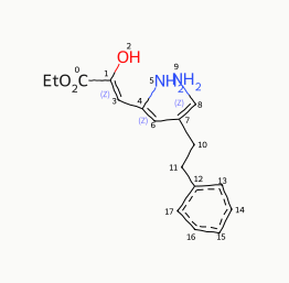 CCOC(=O)/C(O)=C/C(N)=C/C(=C\N)CCc1ccccc1